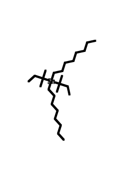 CCCCCCC[CH2][Sn]([CH2]CCCCCCC)([C](C)(C)CC)[C](C)(C)CC